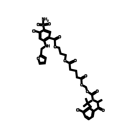 CC(C(=O)c1cccc(Cl)c1)N(C(=O)OCOC(=O)CCCC(=O)OCCCOC(=O)c1cc(S(N)(=O)=O)c(Cl)cc1NCc1ccco1)C(C)(C)C